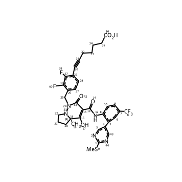 CSc1ncc(-c2cc(C(F)(F)F)ccc2NC(=O)C2=C(O)[C@@]3(C)CCCN3N(Cc3ccc(C#CCCCCC(=O)O)c(F)c3F)C2=O)cn1